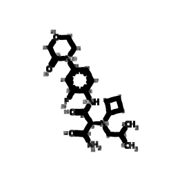 CC(C)CN(C1CCC1)[C@@H](C(N)=O)C(=O)Nc1ccc(N2CCOCC2=O)cc1F